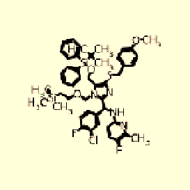 COc1ccc(CSc2nc(C(Nc3ccc(F)c(C)n3)c3ccc(F)c(Cl)c3)n(COCC[Si](C)(C)C)c2CO[Si](c2ccccc2)(c2ccccc2)C(C)(C)C)cc1